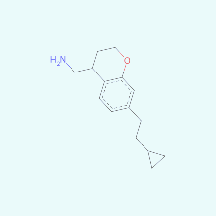 NCC1CCOc2cc(CCC3CC3)ccc21